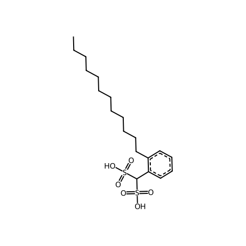 CCCCCCCCCCCCc1ccccc1C(S(=O)(=O)O)S(=O)(=O)O